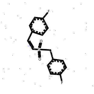 O=S(=O)(/C=C\c1ccc(F)cc1)Cc1ccc(F)cc1